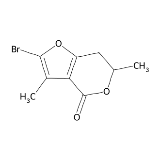 Cc1c(Br)oc2c1C(=O)OC(C)C2